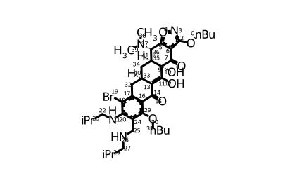 CCCCOc1noc2c1C(=O)[C@@]1(O)C(O)=C3C(=O)c4c(c(Br)c(NCC(C)C)c(CNCC(C)C)c4OCCCC)C[C@H]3C[C@H]1[C@@H]2N(C)C